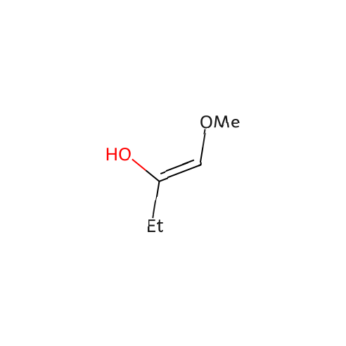 CCC(O)=COC